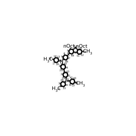 CCCCCCCCC1(CCCCCCCC)c2ccc(-c3ccc(N(c4ccc(C)cc4)c4ccc(-c5ccc(N(c6ccc(C)cc6)c6ccc(C)cc6)cc5)cc4)cc3)cc2-c2ccc(C)cc21